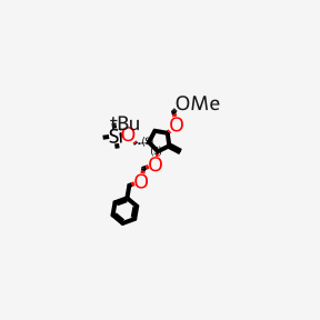 C=C1C(OCOC)C[C@@H](CO[Si](C)(C)C(C)(C)C)[C@@H]1OCOCc1ccccc1